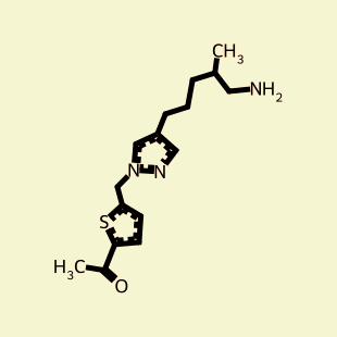 CC(=O)c1ccc(Cn2cc(CCCC(C)CN)cn2)s1